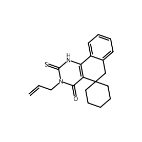 C=CCn1c(=S)[nH]c2c(c1=O)C1(CCCCC1)Cc1ccccc1-2